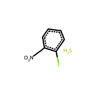 O=[N+]([O-])c1ccccc1F.S